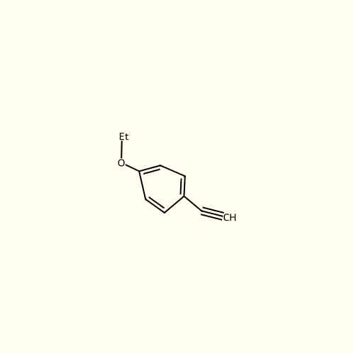 C#Cc1ccc(OCC)cc1